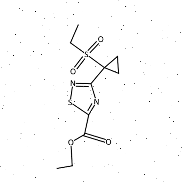 CCOC(=O)c1nc(C2(S(=O)(=O)CC)CC2)ns1